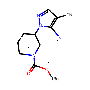 CC(C)(C)OC(=O)N1CCCC(n2ncc(C#N)c2N)C1